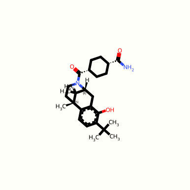 CC(C)(C)c1ccc2c(c1O)C[C@H]1N(C(=O)[C@H]3CC[C@@H](C(N)=O)CC3)CC[C@]2(C)C1(C)C